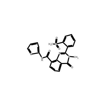 Cn1c(-c2ccccc2S(C)(=O)=O)nc2c(C(=O)Nc3ccccn3)cccc2c1=O